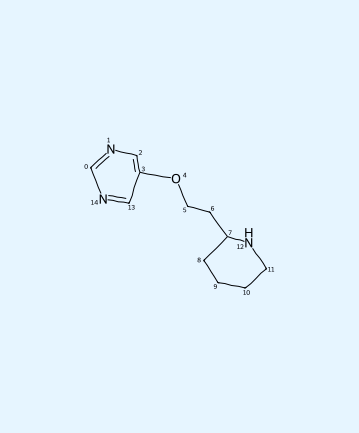 c1ncc(OCCC2CCCCN2)cn1